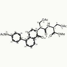 COC(=O)[C@H](COC(C)=O)NC(=O)[C@H](COC(C)=O)n1cnc2c(-c3ccc(NC(C)=O)cc3)cccc2c1=O